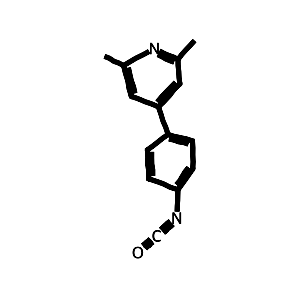 Cc1cc(-c2ccc(N=C=O)cc2)cc(C)n1